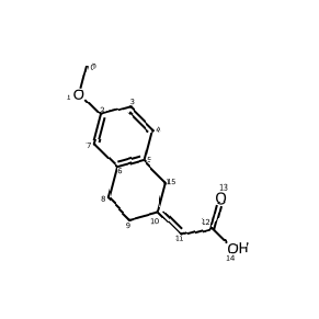 COc1ccc2c(c1)CC/C(=C/C(=O)O)C2